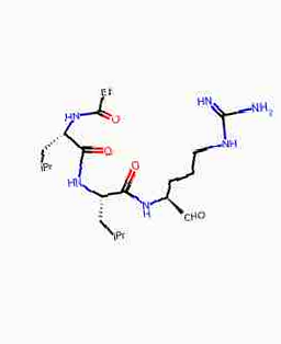 CCC(=O)N[C@@H](CC(C)C)C(=O)N[C@@H](CC(C)C)C(=O)N[C@H](C=O)CCCNC(=N)N